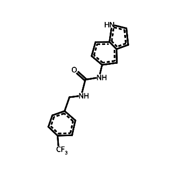 O=C(NCc1ccc(C(F)(F)F)cc1)Nc1ccc2[nH]ccc2c1